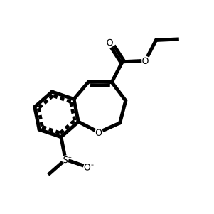 CCOC(=O)C1=Cc2cccc([S+](C)[O-])c2OCC1